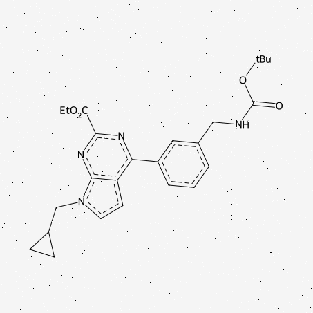 CCOC(=O)c1nc(-c2cccc(CNC(=O)OC(C)(C)C)c2)c2ccn(CC3CC3)c2n1